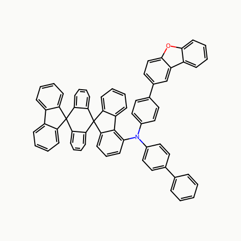 c1ccc(-c2ccc(N(c3ccc(-c4ccc5oc6ccccc6c5c4)cc3)c3cccc4c3-c3ccccc3C43c4ccccc4C4(c5ccccc5-c5ccccc54)c4ccccc43)cc2)cc1